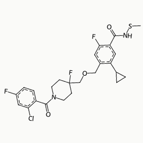 CSNC(=O)c1cc(C2CC2)c(COCC2(F)CCN(C(=O)c3ccc(F)cc3Cl)CC2)cc1F